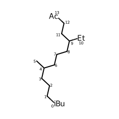 CCC(C)CCCC(C)CCCC(CC)CCC(C)=O